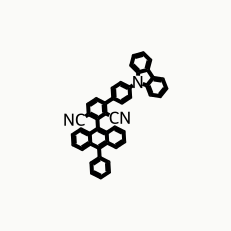 N#Cc1ccc(-c2ccc(-n3c4ccccc4c4ccccc43)cc2)c(C#N)c1-c1c2ccccc2c(-c2ccccc2)c2ccccc12